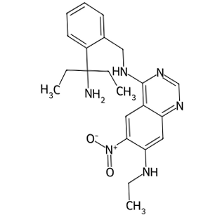 CCNc1cc2ncnc(NCc3ccccc3C(N)(CC)CC)c2cc1[N+](=O)[O-]